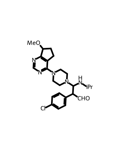 COC1CCc2c1ncnc2N1CCN(C(NC(C)C)C(C=O)c2ccc(Cl)cc2)CC1